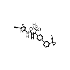 C#Cc1nc(NC(=O)NC(C(N)=O)c2ccc(-c3cccc(C4(C#N)CC4)c3)cc2)cs1